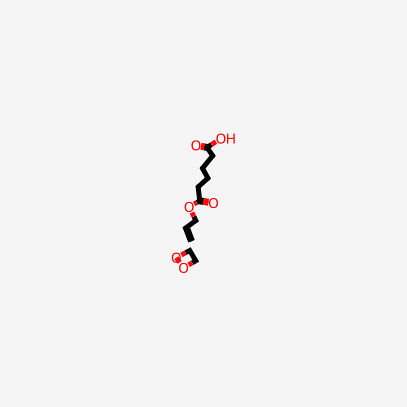 C1COO1.C=CCOC(=O)CCCCC(=O)O